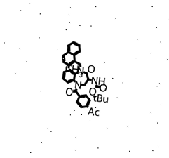 CC(=O)c1ccc(C(=O)N2CC(NC(=O)OC(C)(C)C)C(=O)N(Cc3c(C)ccc4ccccc34)c3ccccc32)cc1